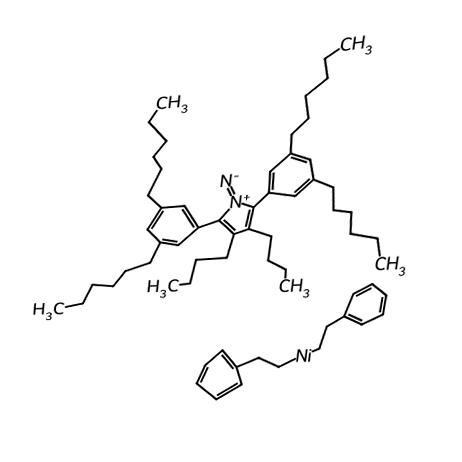 CCCCCCc1cc(CCCCCC)cc(C2=C(CCCC)C(CCCC)=C(c3cc(CCCCCC)cc(CCCCCC)c3)[N+]2=[N-])c1.c1ccc(C[CH2][Ni][CH2]Cc2ccccc2)cc1